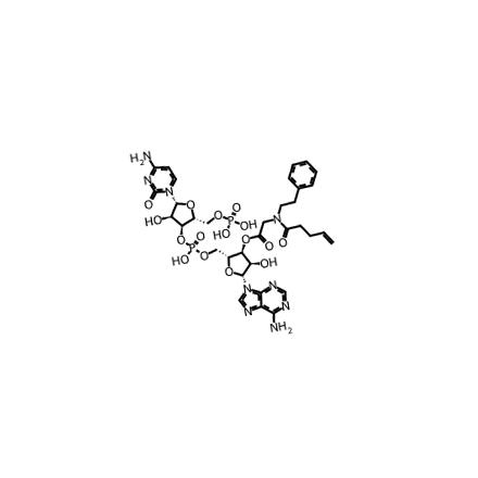 C=CCCC(=O)N(CCc1ccccc1)CC(=O)O[C@H]1[C@@H](O)[C@H](n2cnc3c(N)ncnc32)O[C@@H]1COP(=O)(O)O[C@H]1[C@@H](O)[C@H](n2ccc(N)nc2=O)O[C@@H]1COP(=O)(O)O